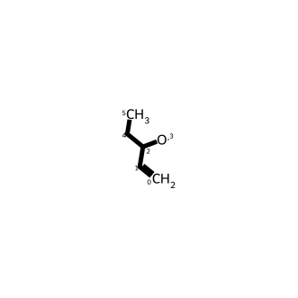 C=CC([O])CC